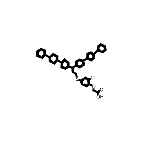 O=C(O)COc1ccc(SCC=C(c2ccc(-c3ccc(-c4ccccc4)cc3)cc2)c2ccc(-c3ccc(-c4ccccc4)cc3)cc2)cc1Cl